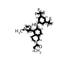 C=CC(=O)N1CCc2c(ccc(Nc3cc(C(F)(F)F)cc(C(F)(F)F)c3)c2-c2cn(C)cn2)C1